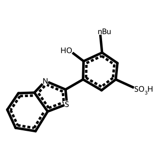 CCCCc1cc(S(=O)(=O)O)cc(-c2nc3ccccc3s2)c1O